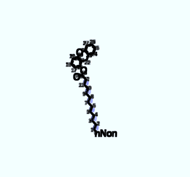 CCCCCCCCC/C=C/C=C/C=C/C=C/C=C/C=C/C(=O)Oc1cccc2c1Cc1ccccc1O2